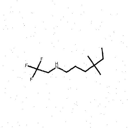 CCC(C)(C)CCCNCC(F)(F)F